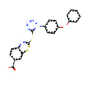 O=C(O)c1ccc2nc(Sc3nnnn3-c3ccc(Oc4ccccc4)cc3)sc2c1